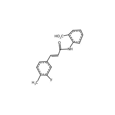 Cc1ccc(/C=C/C(=O)Nc2ccccc2C(=O)O)cc1F